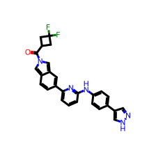 O=C(C1CC(F)(F)C1)n1cc2ccc(-c3cccc(Nc4ccc(-c5cn[nH]c5)cc4)n3)cc2c1